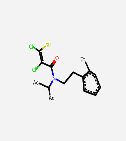 CCc1ccccc1CCN(C(=O)/C(Cl)=C(\S)Cl)C(C(C)=O)C(C)=O